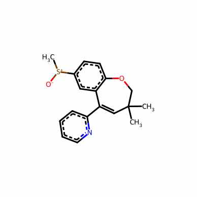 C[S+]([O-])c1ccc2c(c1)C(c1ccccn1)=CC(C)(C)CO2